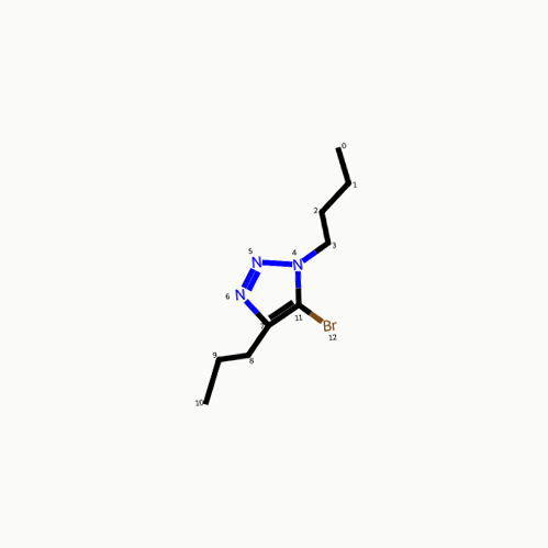 CCCCn1nnc(CCC)c1Br